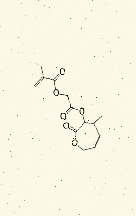 C=C(C)C(=O)OCC(=O)OC1C(=O)OCCCC1C